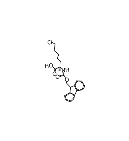 O=C(N[C@@H](CCCCCCl)C(=O)O)OCC1c2ccccc2-c2ccccc21